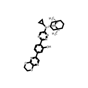 C[C@]12CCC[C@](C)(C[C@@H](N(c3cnc(-c4ccc(-c5cnc6c(n5)OCCO6)cc4O)nn3)C3CC3)C1)N2